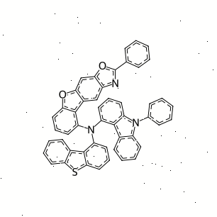 c1ccc(-c2nc3cc4c(cc3o2)oc2cccc(N(c3cccc5sc6ccccc6c35)c3cccc5c3c3ccccc3n5-c3ccccc3)c24)cc1